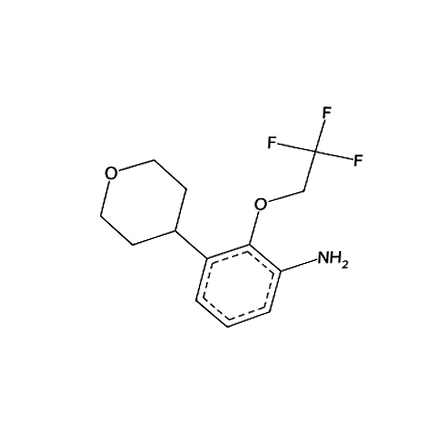 Nc1cccc(C2CCOCC2)c1OCC(F)(F)F